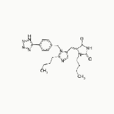 CCCCc1ncc(C=C2C(=O)NC(=O)N2CCCC)n1Cc1ccc(-c2nnn[nH]2)cc1